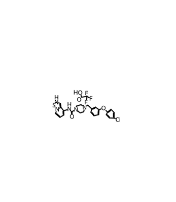 O=C(NC1=CC=CN2SNC=C12)N1CCN(Cc2cccc(Oc3ccc(Cl)cc3)c2)CC1.O=C(O)C(F)(F)F